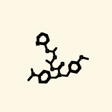 COc1ccc(CN(Cc2ccc(N(C)C)cc2)C(=O)OC(C)OC(C)Oc2ccccn2)cc1